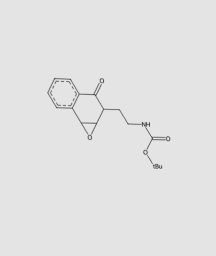 CC(C)(C)OC(=O)NCCC1C(=O)c2ccccc2C2OC12